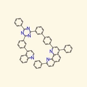 c1ccc(-c2ccc3ccc4c(-c5ccccc5)cc(-c5ccc(-c6cccc(-c7nc(-c8ccccc8)nc(-c8cccc(-c9ccnc%10ccccc9%10)c8)n7)c6)cc5)nc4c3n2)cc1